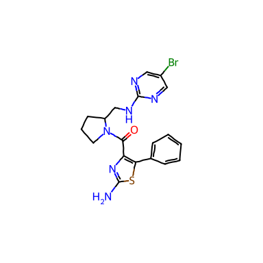 Nc1nc(C(=O)N2CCCC2CNc2ncc(Br)cn2)c(-c2ccccc2)s1